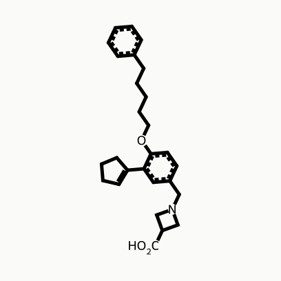 O=C(O)C1CN(Cc2ccc(OCCCCCc3ccccc3)c(C3=CCCC3)c2)C1